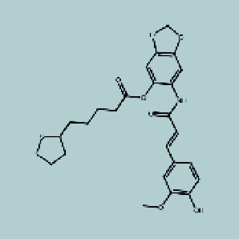 COc1cc(/C=C/C(=O)Nc2cc3c(cc2OC(=O)CCCCC2CCSS2)OCO3)ccc1O